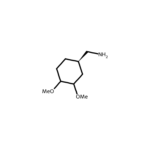 COC1CC[C@@H](CN)CC1OC